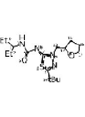 CCC(CC)NC(=O)/N=c1\sc(C(C)(C)C)nn1C[C@H]1CCCO1